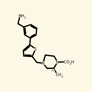 C[C@H]1CN(Cc2ccc(-c3cccc(CN)c3)s2)CCN1C(=O)O